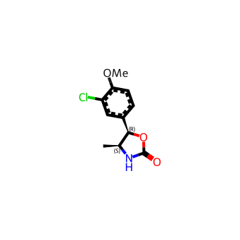 COc1ccc([C@H]2OC(=O)N[C@H]2C)cc1Cl